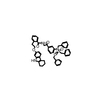 O=C(CNC(=O)c1ccccc1CCOc1ccc2c3c([nH]c2c1)CCCC3)c1ccc(OCc2ccccc2)c(N(Cc2ccccc2)S(=O)(=O)Cc2ccccc2)c1